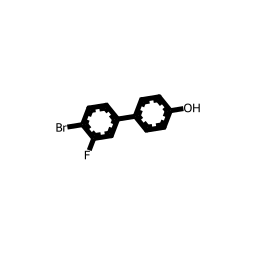 Oc1ccc(-c2ccc(Br)c(F)c2)cc1